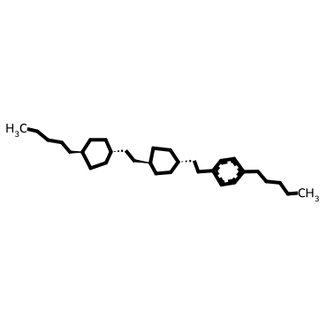 CCCCCc1ccc(CC[C@H]2CC[C@H](CC[C@H]3CC[C@H](CCCCC)CC3)CC2)cc1